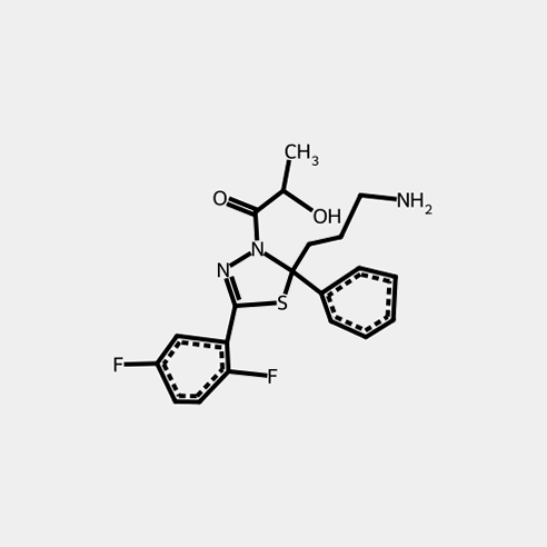 CC(O)C(=O)N1N=C(c2cc(F)ccc2F)SC1(CCCN)c1ccccc1